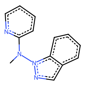 CN(c1ccccn1)n1ncc2ccccc21